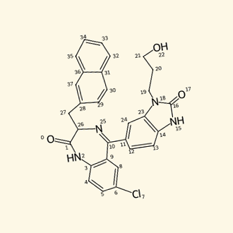 O=C1Nc2ccc(Cl)cc2C(c2ccc3[nH]c(=O)n(CCCO)c3c2)=NC1Cc1ccc2ccccc2c1